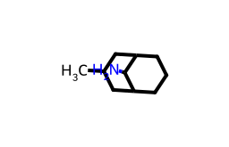 CC1CC2CCCC(C1)C2N